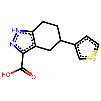 O=C(O)c1n[nH]c2c1CC(c1ccsc1)CC2